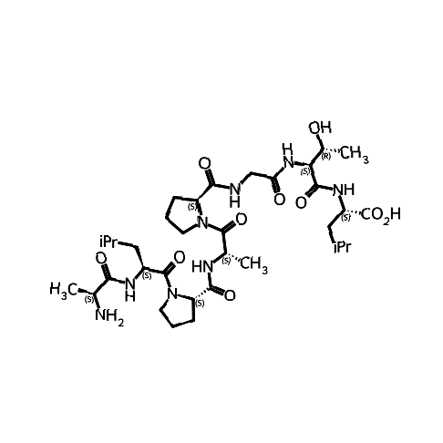 CC(C)C[C@H](NC(=O)[C@@H](NC(=O)CNC(=O)[C@@H]1CCCN1C(=O)[C@H](C)NC(=O)[C@@H]1CCCN1C(=O)[C@H](CC(C)C)NC(=O)[C@H](C)N)[C@@H](C)O)C(=O)O